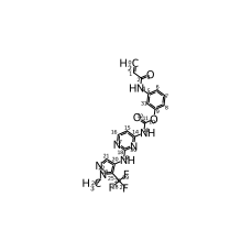 C=CC(=O)Nc1cccc(OC(=O)Nc2ccnc(Nc3cnn(C)c3C(F)(F)F)n2)c1